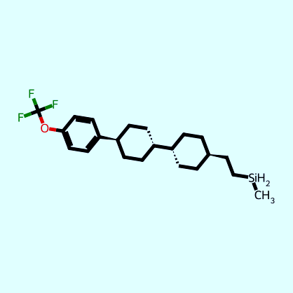 C[SiH2]CC[C@H]1CC[C@H]([C@H]2CC[C@H](c3ccc(OC(F)(F)F)cc3)CC2)CC1